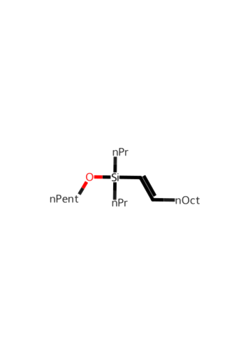 CCCCCCCCC=C[Si](CCC)(CCC)OCCCCC